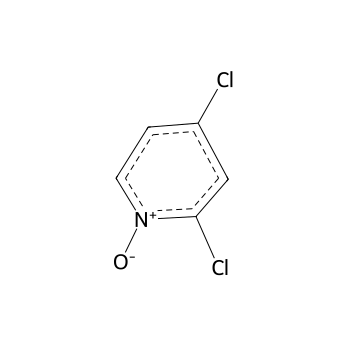 [O-][n+]1ccc(Cl)cc1Cl